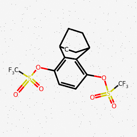 O=S(=O)(Oc1ccc(OS(=O)(=O)C(F)(F)F)c2c1C1CCC2CC1)C(F)(F)F